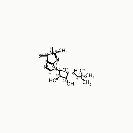 C=P(C)(C)CC[C@H]1OC(n2cnc3c(=S)[nH]c(C)nc32)[C@H](O)[C@@H]1O